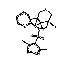 Cc1n[nH]c(C)c1S(=O)(=O)N1C[C@H]2COC[C@@H](C1)[C@H]2Oc1cnccn1